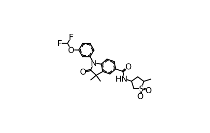 CC1CC(NC(=O)c2ccc3c(c2)C(C)(C)C(=O)N3c2cccc(OC(F)F)c2)CS1(=O)=O